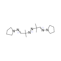 CC(C)(/C=N/N1CCCC1)/N=N/C(C)(C)/C=N/N1CCCC1